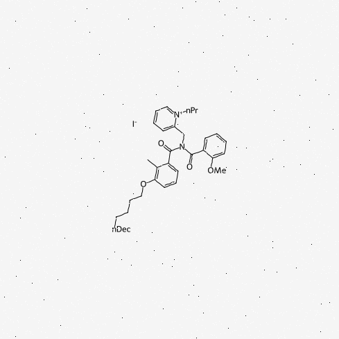 CCCCCCCCCCCCCCOc1cccc(C(=O)N(Cc2cccc[n+]2CCC)C(=O)c2ccccc2OC)c1C.[I-]